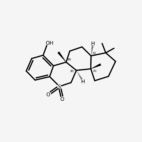 CC1(C)CCC[C@]2(C)[C@H]3CS(=O)(=O)c4cccc(O)c4[C@]3(C)CC[C@@H]12